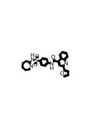 O=C(Nc1ccc(S(=O)(=O)NC2=NCCCCC2)cc1)c1cc(-c2ccco2)nc2ccccc12